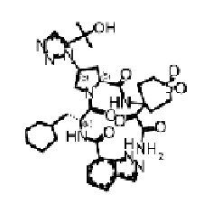 CC(C)(O)c1cnnn1[C@H]1C[C@@H](C(=O)NC2(C(=O)C(N)=O)CCS(=O)(=O)CC2)N(C(=O)[C@@H](CC2CCCCC2)NC(=O)c2cccc3cn[nH]c23)C1